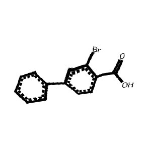 O=C(O)c1ccc(-c2ccccc2)cc1Br